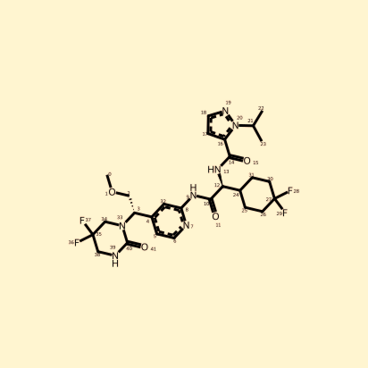 COC[C@H](c1ccnc(NC(=O)[C@@H](NC(=O)c2ccnn2C(C)C)C2CCC(F)(F)CC2)c1)N1CC(F)(F)CNC1=O